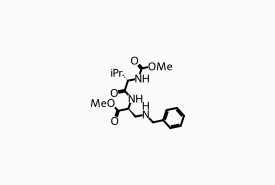 COC(=O)N[C@H](C(=O)N[C@@H](CNCc1ccccc1)C(=O)OC)C(C)C